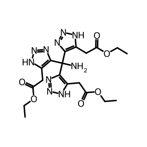 CCOC(=O)Cc1[nH]nnc1C(N)(c1nn[nH]c1CC(=O)OCC)c1nn[nH]c1CC(=O)OCC